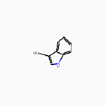 [SeH]c1c[nH]c2ccccc12